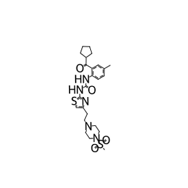 Cc1ccc(NC(=O)Nc2nc(CCN3CCN(S(C)(=O)=O)CC3)cs2)c(C(=O)C2CCCC2)c1